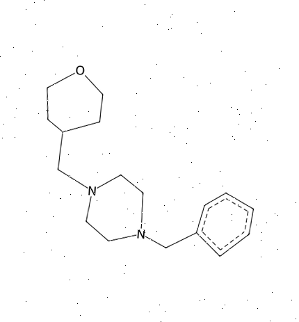 c1ccc(CN2CCN(CC3CCOCC3)CC2)cc1